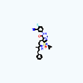 CC(CCc1ccccc1)C1CCc2c(cn(C)c2C(=O)Nc2ccc(F)c(C#N)c2)S(=O)(=NC2CC2)N1